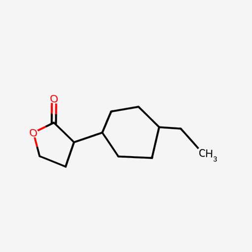 CCC1CCC(C2CCOC2=O)CC1